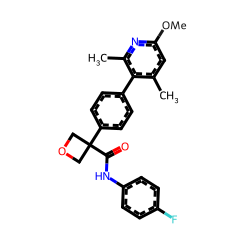 COc1cc(C)c(-c2ccc(C3(C(=O)Nc4ccc(F)cc4)COC3)cc2)c(C)n1